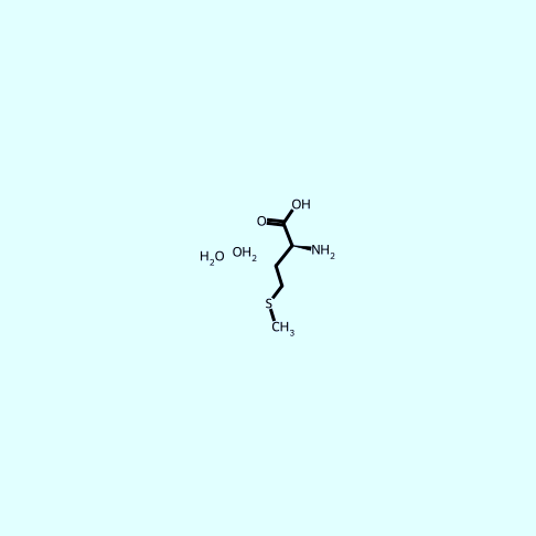 CSCC[C@H](N)C(=O)O.O.O